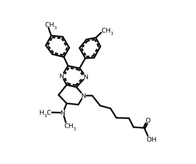 Cc1ccc(-c2nc3c(nc2-c2ccc(C)cc2)N(CCCCCCC(=O)O)CC(N(C)C)C3)cc1